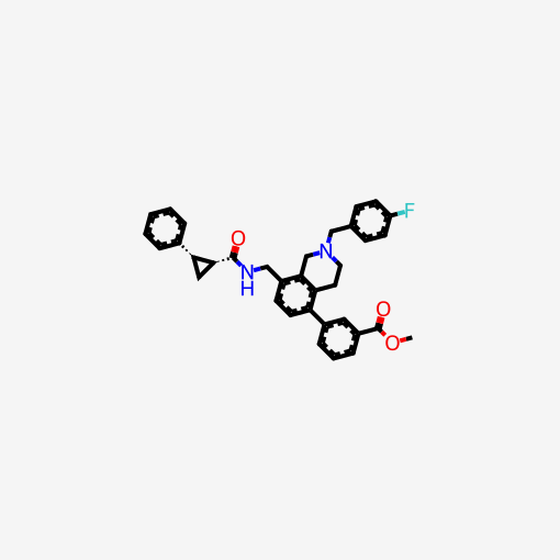 COC(=O)c1cccc(-c2ccc(CNC(=O)[C@@H]3C[C@@H]3c3ccccc3)c3c2CCN(Cc2ccc(F)cc2)C3)c1